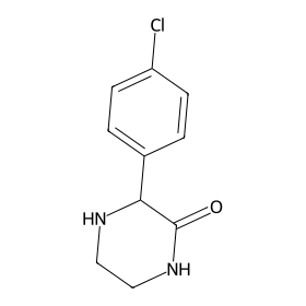 O=C1NCCNC1c1ccc(Cl)cc1